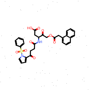 O=C(O)CC(NC(=O)CCC(=O)c1cccn1S(=O)(=O)c1ccccc1)C(=O)COC(=O)Cc1cccc2ccccc12